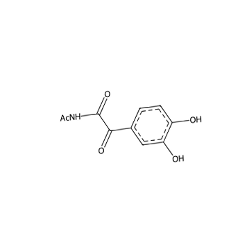 CC(=O)NC(=O)C(=O)c1ccc(O)c(O)c1